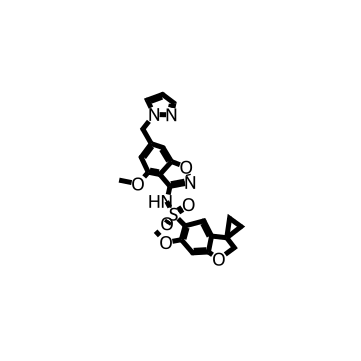 COc1cc2c(cc1S(=O)(=O)Nc1noc3cc(Cn4cccn4)cc(OC)c13)C1(CC1)CO2